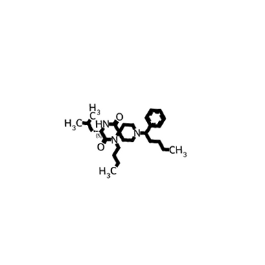 CCCCC(c1ccccc1)N1CCC2(CC1)C(=O)N[C@@H](CC(C)C)C(=O)N2CCCC